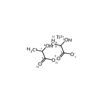 CC(O)C(=O)[O-].CC(O)C(=O)[O-].[Ti+2]